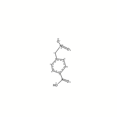 O=C(O)c1ccc(C[N+](=O)[O-])cc1